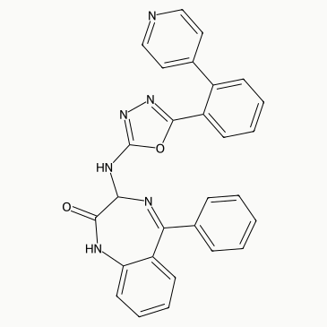 O=C1Nc2ccccc2C(c2ccccc2)=NC1Nc1nnc(-c2ccccc2-c2ccncc2)o1